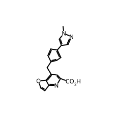 Cn1cc(-c2ccc(Cc3cc(C(=O)O)nc4ccoc34)cc2)cn1